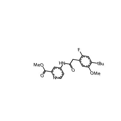 COC(=O)c1cc(NC(=O)Cc2cc(OC)c(C(C)(C)C)cc2F)ccn1